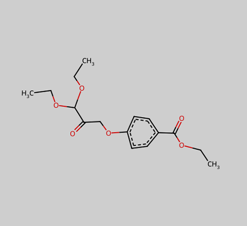 CCOC(=O)c1ccc(OCC(=O)C(OCC)OCC)cc1